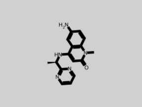 C[C@@H](Nc1cc(=O)n(C)c2ccc(N)cc12)c1ncccn1